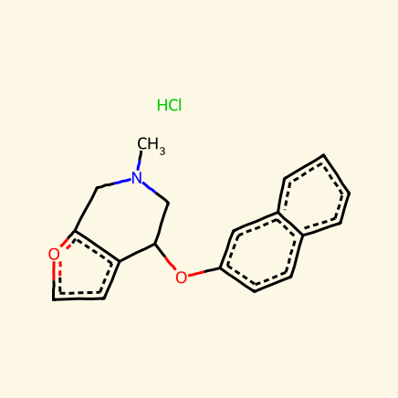 CN1Cc2occc2C(Oc2ccc3ccccc3c2)C1.Cl